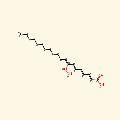 CCCCCCCCCCCC=C(C=CC=CC=CC(=O)O)OO